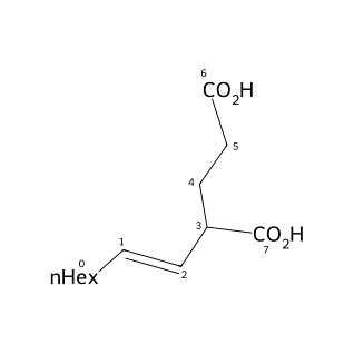 CCCCCCC=CC(CCC(=O)O)C(=O)O